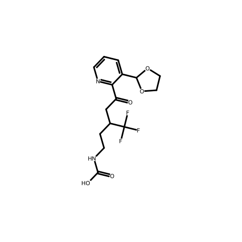 O=C(O)NCCC(CC(=O)c1ncccc1C1OCCO1)C(F)(F)F